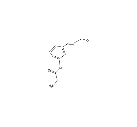 NCC(=O)Nc1cccc(C=CC[O])c1